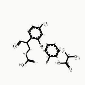 C=CC(COC(C)=O)c1ccc(C)cc1O.CC(C)C(=O)O.Fc1ccccc1